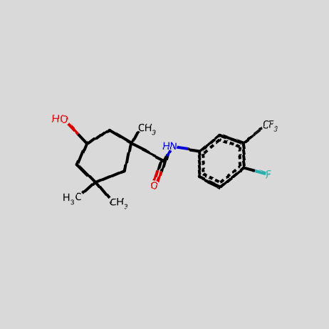 CC1(C)CC(O)CC(C)(C(=O)Nc2ccc(F)c(C(F)(F)F)c2)C1